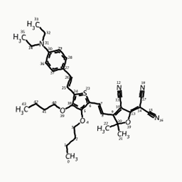 CCCCOc1c(/C=C/C2=C(C#N)C(=C(C#N)C#N)OC2(C)C)sc(/C=C/c2ccc(N(CC)CC)cc2)c1OCCCC